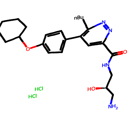 CCCCc1nnc(C(=O)NC[C@H](O)CN)cc1-c1ccc(OC2CCCCC2)cc1.Cl.Cl